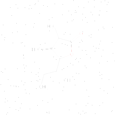 CCC(C)C1OC(=O)C(C)C1C